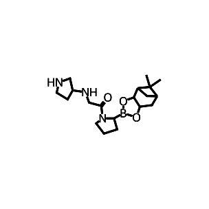 CC1(C)C2CC3OB(C4CCCN4C(=O)CNC4CCNC4)OC3C1C2